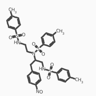 Cc1ccc(S(=O)(=O)NCCN(C(CNS(=O)(=O)c2ccc(C)cc2)Cc2ccc(N=O)cc2)S(=O)(=O)c2ccc(C)cc2)cc1